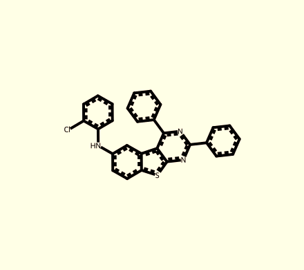 Clc1ccccc1Nc1ccc2sc3nc(-c4ccccc4)nc(-c4ccccc4)c3c2c1